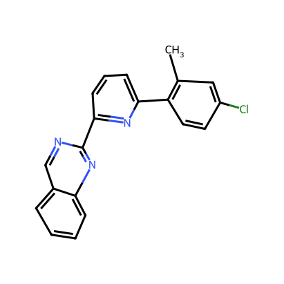 Cc1cc(Cl)ccc1-c1cccc(-c2ncc3ccccc3n2)n1